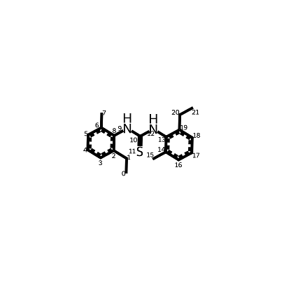 CCc1cccc(C)c1NC(=S)Nc1c(C)cccc1CC